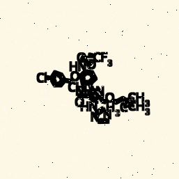 C[C@H](Oc1cc(-c2nn(COCC[Si](C)(C)C)c(Nc3cnccn3)c2C(N)=O)ccc1NS(=O)(=O)CC(F)(F)F)c1ccc(Cl)cc1